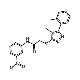 Cc1ccccc1-c1nnc(SCC(=O)Nc2cccc([N+](=O)[O-])c2)n1C